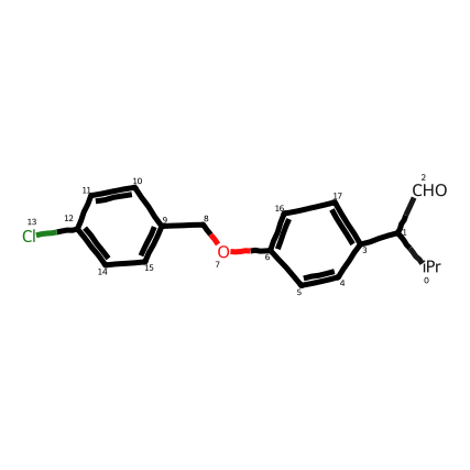 CC(C)C(C=O)c1ccc(OCc2ccc(Cl)cc2)cc1